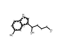 N#Cc1ccc2[nH]cc(C(O)CCCCl)c2c1